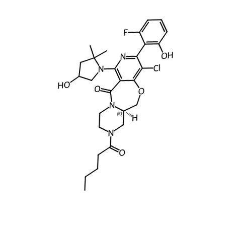 CCCCC(=O)N1CCN2C(=O)c3c(N4CC(O)CC4(C)C)nc(-c4c(O)cccc4F)c(Cl)c3OC[C@H]2C1